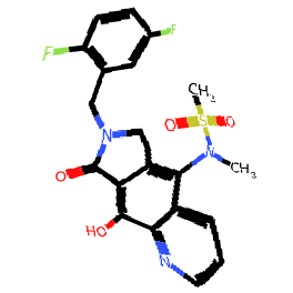 CN(c1c2c(c(O)c3ncccc13)C(=O)N(Cc1cc(F)ccc1F)C2)S(C)(=O)=O